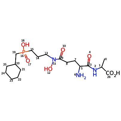 CC(NC(=O)C(N)CCC(=O)N(O)CCCP(=O)(O)CC1CCCCC1)C(=O)O